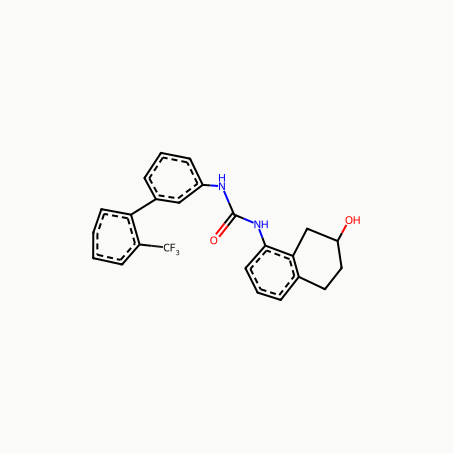 O=C(Nc1cccc(-c2ccccc2C(F)(F)F)c1)Nc1cccc2c1CC(O)CC2